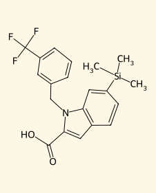 C[Si](C)(C)c1ccc2cc(C(=O)O)n(Cc3cccc(C(F)(F)F)c3)c2c1